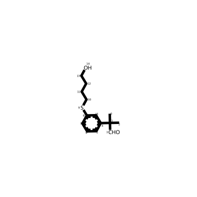 CC(C)(C=O)c1cccc(SCCCCO)c1